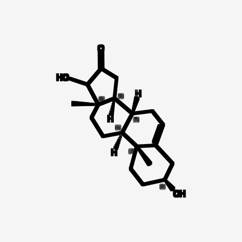 C[C@]12CC[C@H](O)CC1=CC[C@@H]1[C@@H]2CC[C@]2(C)C(O)C(=O)C[C@@H]12